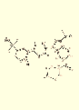 C[S+]([O-])c1cn(-c2ncc(-c3cc(C(C)(C)O)ccc3F)cn2)c2cc(C(=O)N3CCOCC3)ccc12